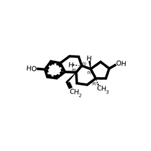 C=C[C@]12CC[C@]3(C)CC(O)C[C@H]3[C@@H]1CCc1cc(O)ccc12